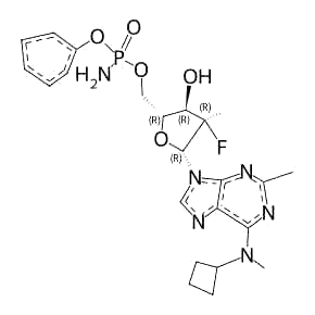 Cc1nc(N(C)C2CCC2)c2ncn([C@@H]3O[C@H](COP(N)(=O)Oc4ccccc4)[C@@H](O)[C@@]3(C)F)c2n1